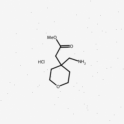 COC(=O)CC1(CN)CCOCC1.Cl